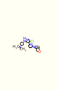 CN(C)[C@H]1CC[C@H](Nc2cc(-c3cccc(NCC4(C#N)CCOCC4)n3)c(Cl)cn2)CC1